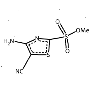 COS(=O)(=O)c1nc(N)c(C#N)s1